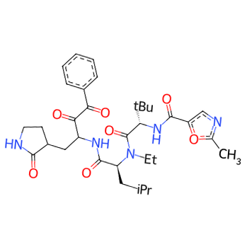 CCN(C(=O)[C@@H](NC(=O)c1cnc(C)o1)C(C)(C)C)[C@@H](CC(C)C)C(=O)NC(CC1CCNC1=O)C(=O)C(=O)c1ccccc1